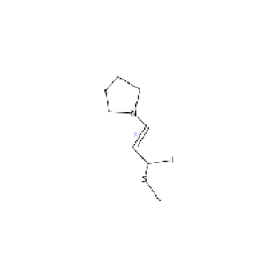 CSC(I)/C=C/N1CCCC1